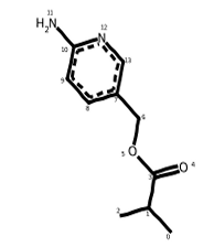 CC(C)C(=O)OCc1ccc(N)nc1